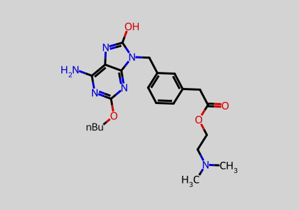 CCCCOc1nc(N)c2nc(O)n(Cc3cccc(CC(=O)OCCN(C)C)c3)c2n1